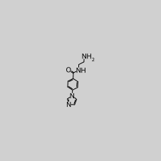 NCCNC(=O)c1ccc(-n2ccnc2)cc1